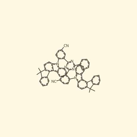 CC1(C)c2ccccc2-c2c1ccc1c2c2ccccc2n1-c1ccc(C#N)cc1-c1nc(-c2ccccc2)nc(-c2cc(C#N)ccc2-n2c3ccccc3c3c4c(ccc32)C(C)(C)c2ccccc2-4)n1